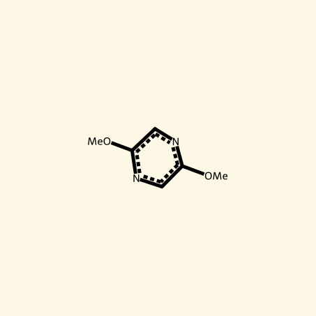 COc1cnc(OC)cn1